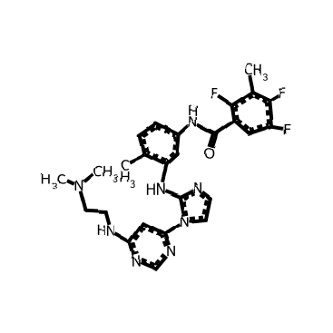 Cc1ccc(NC(=O)c2cc(F)c(F)c(C)c2F)cc1Nc1nccn1-c1cc(NCCN(C)C)ncn1